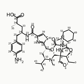 CC[C@H](C)[C@@](C=O)(CN(C)[C@H](C[C@@H](OC(=O)NC)c1nc(C(=O)N[C@@H](Cc2ccc(N)cc2)C[C@H](C)C(=O)O)cs1)C(C)C)NC(=O)[C@H]1CCCCN1C